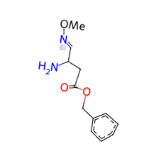 CO/N=C/C(N)CC(=O)OCc1ccccc1